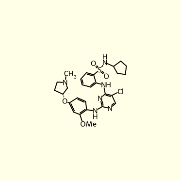 COc1cc(O[C@@H]2CCN(C)C2)ccc1Nc1ncc(Cl)c(Nc2ccccc2S(=O)(=O)NC2CCCC2)n1